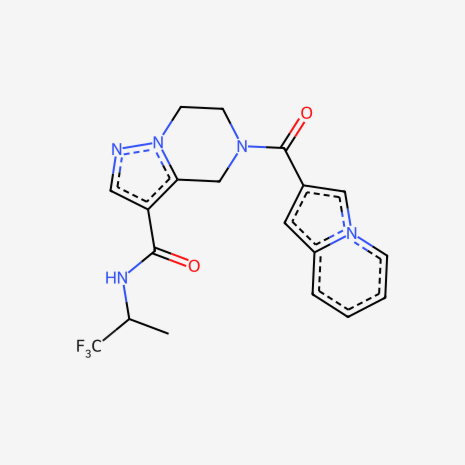 CC(NC(=O)c1cnn2c1CN(C(=O)c1cc3ccccn3c1)CC2)C(F)(F)F